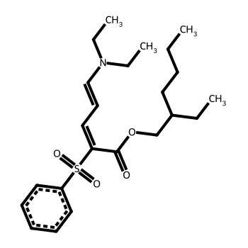 CCCCC(CC)COC(=O)/C(=C\C=C\N(CC)CC)S(=O)(=O)c1ccccc1